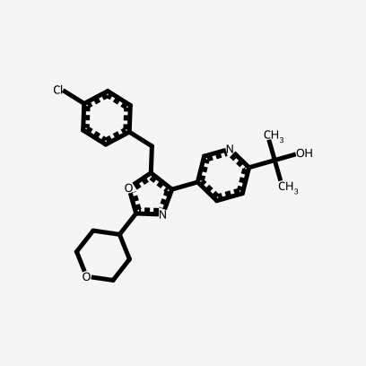 CC(C)(O)c1ccc(-c2nc(C3CCOCC3)oc2Cc2ccc(Cl)cc2)cn1